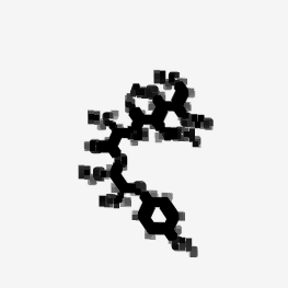 C=N/C(C(=S)N[C@@H](C)C(=O)O[C@@H](C)[C@@H](CCC)Oc1ccc(C)cc1)=C(OC(C)=O)\C(=C/C)OC